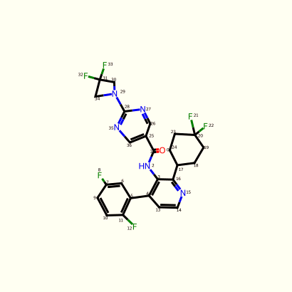 O=C(Nc1c(-c2cc(F)ccc2F)ccnc1C1CCC(F)(F)CC1)c1cnc(N2CC(F)(F)C2)nc1